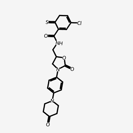 O=C1CCN(c2ccc(N3CC(CNC(=O)C4=CC(Cl)=CCC4=S)OC3=O)cc2)CC1